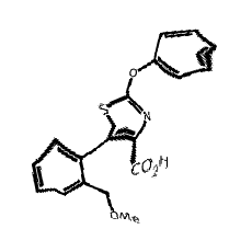 COCc1ccccc1-c1sc(Oc2ccccc2)nc1C(=O)O